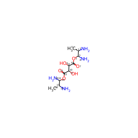 C[C@@H](N)C(N)OC(=O)C(O)C(O)C(=O)OC(N)[C@@H](C)N